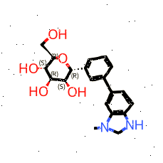 CN1CNc2ccc(-c3cccc([C@H]4O[C@H](CO)[C@@H](O)[C@H](O)[C@@H]4O)c3)cc21